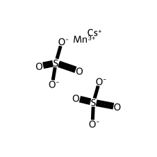 O=S(=O)([O-])[O-].O=S(=O)([O-])[O-].[Cs+].[Mn+3]